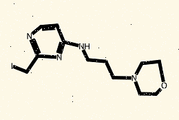 ICc1nccc(NCCCN2CCOCC2)n1